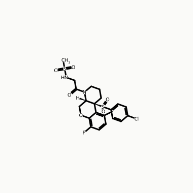 CS(=O)(=O)NCC(=O)N1CCC[C@]2(S(=O)(=O)c3ccc(Cl)cc3)c3c(F)ccc(F)c3OC[C@H]12